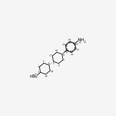 CCCCC1CCC([C@H]2CC[C@H](c3ccc(N)cc3)CC2)CC1